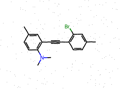 Cc1ccc(C#Cc2cc(C)ccc2N(C)C)c(Br)c1